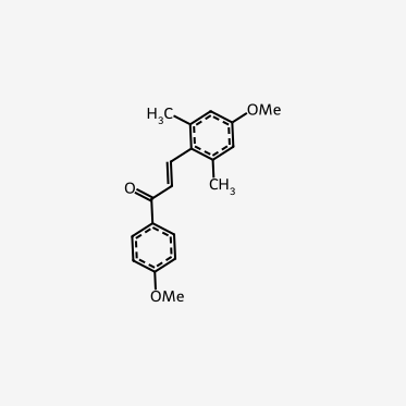 COc1ccc(C(=O)C=Cc2c(C)cc(OC)cc2C)cc1